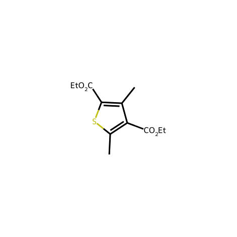 CCOC(=O)c1sc(C)c(C(=O)OCC)c1C